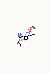 C=CCC(NC(=O)OC(C)(C)C)c1cccc(-c2c(NC[C@H](C)C=C)cnn2C)c1